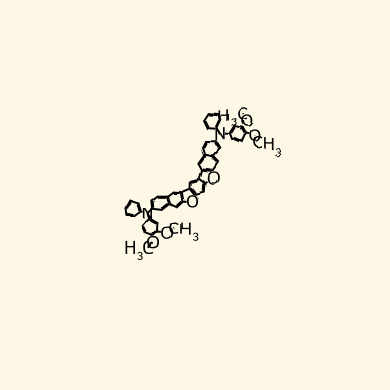 COc1ccc(N(c2ccccc2)c2ccc3cc4c(cc3c2)oc2cc3oc5cc6cc(N(c7ccccc7)c7ccc(OC)c(OC)c7)ccc6cc5c3cc24)cc1OC